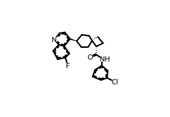 O=C(Nc1cccc(Cl)c1)[C@H]1CC[C@]12CC[C@H](c1ccnc3ccc(F)cc31)CC2